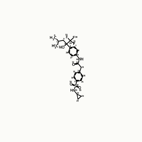 CC(C)CC(O)(c1ccc(NC(=O)Cc2ccc(S(=O)(=O)NC3CC3)cc2)cc1)C(F)(F)F